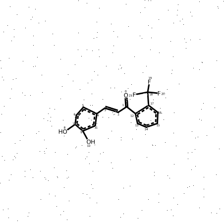 O=C(C=Cc1ccc(O)c(O)c1)c1ccccc1C(F)(F)F